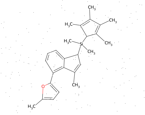 CC1=CC([Si](C)(C)C2C(C)=C(C)C(C)=C2C)c2cccc(-c3ccc(C)o3)c21